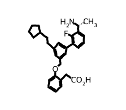 C[C@@H](N)c1cccc(-c2cc(CCC3CCCC3)cc(COc3ccccc3CC(=O)O)c2)c1F